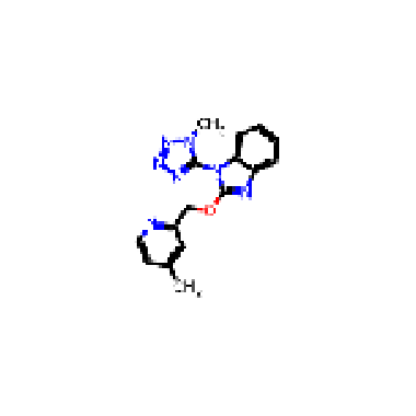 Cc1ccnc(COc2nc3ccccc3n2-c2nnnn2C)c1